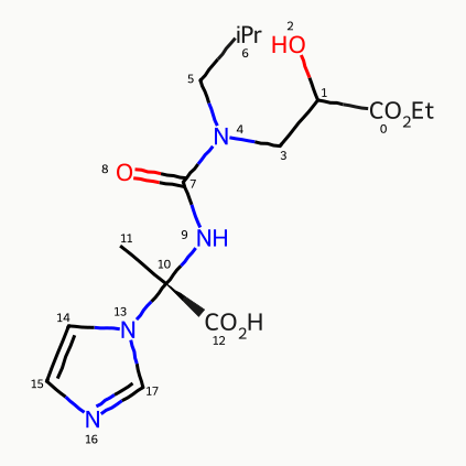 CCOC(=O)C(O)CN(CC(C)C)C(=O)N[C@](C)(C(=O)O)n1ccnc1